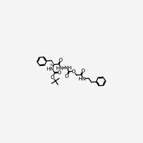 CC(C)(C)OC(=O)N[C@@H](Cc1ccccc1)C(=O)NNC(=O)OCC(=O)NCCc1ccccc1